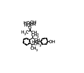 CC(C)=O.CC(C)c1ccccc1C(C)C.OO.OO.Oc1ccc(O)cc1